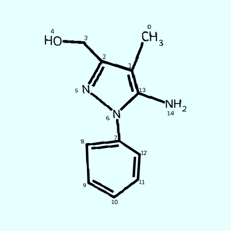 Cc1c(CO)nn(-c2ccccc2)c1N